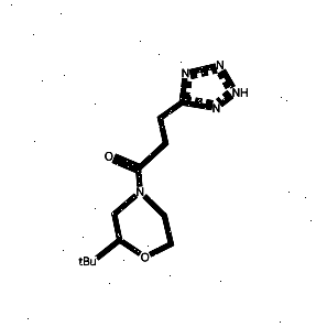 CC(C)(C)C1CN(C(=O)CCc2nn[nH]n2)CCO1